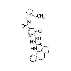 CCN1CCC[C@H]1CNC(=O)c1cnc(NNC(=S)NC2c3ccccc3CCc3ccccc32)c(Cl)c1